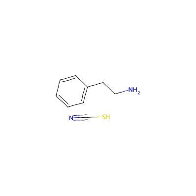 N#CS.NCCc1ccccc1